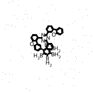 Bc1c(B)c(B)c(-c2ccc3oc4cccc(-c5nc(-c6ccccc6)nc(-c6cccc7c6oc6ccccc67)n5)c4c3c2)c(B)c1B